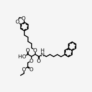 CCOC(=O)COC(C(=O)O)C(OCCCCCc1ccc2c(c1)OCO2)C(=O)NCCCCCc1ccc2ccccc2c1